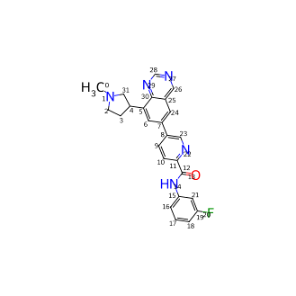 CN1CCC(c2cc(-c3ccc(C(=O)Nc4cccc(F)c4)nc3)cc3cncnc23)C1